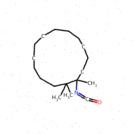 CC1(C)CCCCCCCCCCCCC1(C)N=C=O